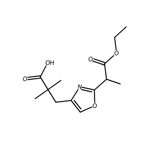 CCOC(=O)C(C)c1nc(CC(C)(C)C(=O)O)co1